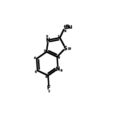 CC(C)(C)c1nc2ccc(F)nc2s1